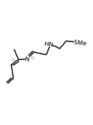 C=C/C=C(C)\N=C\CNCCSC